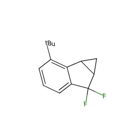 CC(C)(C)c1cccc2c1C1CC1C2(F)F